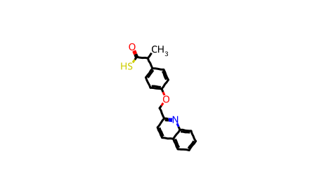 CC(C(=O)S)c1ccc(OCc2ccc3ccccc3n2)cc1